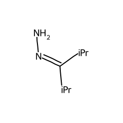 CC(C)C(=NN)C(C)C